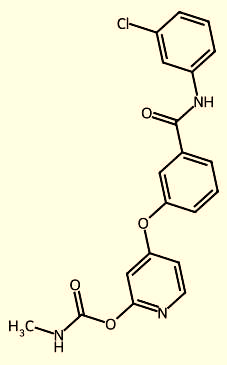 CNC(=O)Oc1cc(Oc2cccc(C(=O)Nc3cccc(Cl)c3)c2)ccn1